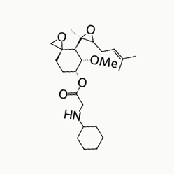 CO[C@@H]1[C@H](OC(=O)CNC2CCCCC2)CC[C@]2(CO2)[C@H]1[C@@]1(C)OC1CC=C(C)C